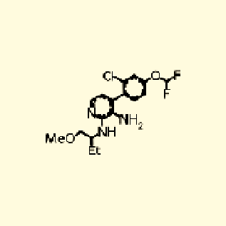 CCC(COC)Nc1nccc(-c2ccc(OC(F)F)cc2Cl)c1N